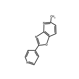 Cc1ccc2oc(-c3ccncc3)nc2n1